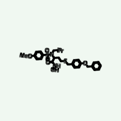 COc1ccc(S(=O)(=O)N(CC(C)C)C(CCSCc2ccc(OCc3ccccc3)cc2)C(=O)NO)cc1